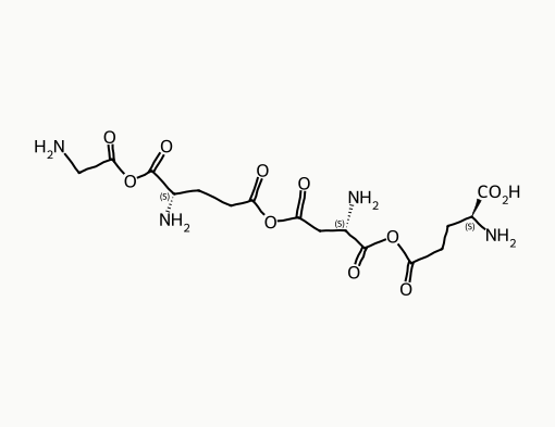 NCC(=O)OC(=O)[C@@H](N)CCC(=O)OC(=O)C[C@H](N)C(=O)OC(=O)CC[C@H](N)C(=O)O